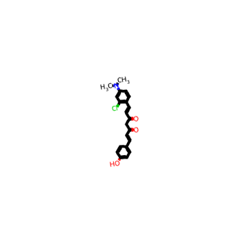 CN(C)c1ccc(C=CC(=O)CC(=O)C=Cc2ccc(O)cc2)c(Cl)c1